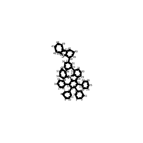 c1ccc(-c2c(-c3ccccc3)c(-c3ccccc3)c3c(c2-c2ccccc2)c2cccc(-c4cccc(-c5cccc6c5sc5ccccc56)c4)c2n3-c2ccccc2)cc1